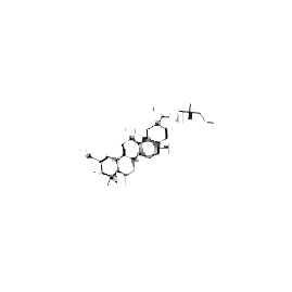 CCCC(C)(C)CNC(=O)[C@@]1(C)CC[C@]2(C)CC[C@@]3(C)[C@]4(C)CC[C@H]5C(C)(C)C(=O)C(C#N)=C[C@]5(C)C4=CC(=O)[C@]3(O)[C@@H]2C1